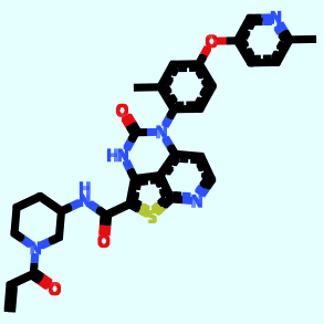 C=CC(=O)N1CCCC(NC(=O)c2sc3nccc4c3c2NC(=O)N4c2ccc(Oc3ccc(C)nc3)cc2C)C1